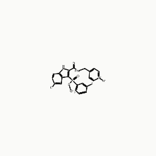 COP(=O)(c1cccc(F)c1)c1c(C(=O)NCc2cc[n+]([O-])cc2)[nH]c2ccc(Cl)cc12